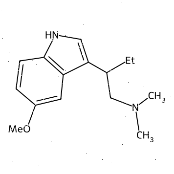 CCC(CN(C)C)c1c[nH]c2ccc(OC)cc12